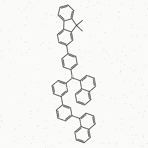 CC1(C)c2ccccc2-c2ccc(-c3ccc(N(c4cccc(-c5cccc(-c6cccc7ccccc67)c5)c4)c4cccc5ccccc45)cc3)cc21